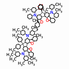 Cc1ccc(C)c(N(c2ccccc2C)c2cc3c(c4oc5ccccc5c24)-c2c4cc(c5c2oc2cc(Cc6c(C)cc(N(c7cc(C)c(C)c(C)c7)c7cc8c(c9oc%10ccccc%10c79)-c7c(cc(N(c9cc(C)c(C)c(C)c9)c9cc(C)c(C)c(C)c9)c9c7oc7ccccc79)C8(c7ccccc7)c7ccccc7)cc6C)ccc25)N(c2ccccc2C)c2cc(C)ccc2-c2ccccc2C34c2ccccc2)c1